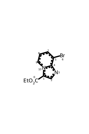 CCOC(=O)c1cnc2c(Br)cccn12